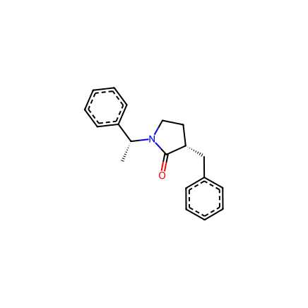 C[C@H](c1ccccc1)N1CC[C@H](Cc2ccccc2)C1=O